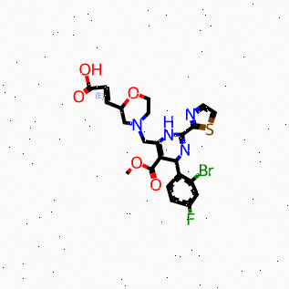 COC(=O)C1=C(CN2CCOC(/C=C/C(=O)O)C2)NC(c2nccs2)=NC1c1ccc(F)cc1Br